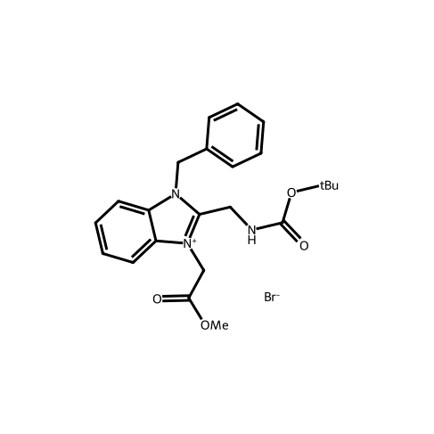 COC(=O)C[n+]1c(CNC(=O)OC(C)(C)C)n(Cc2ccccc2)c2ccccc21.[Br-]